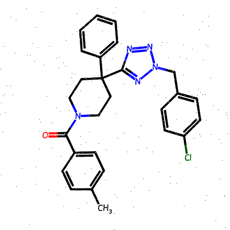 Cc1ccc(C(=O)N2CCC(c3ccccc3)(c3nnn(Cc4ccc(Cl)cc4)n3)CC2)cc1